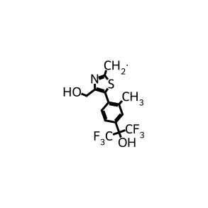 [CH2]c1nc(CO)c(-c2ccc(C(O)(C(F)(F)F)C(F)(F)F)cc2C)s1